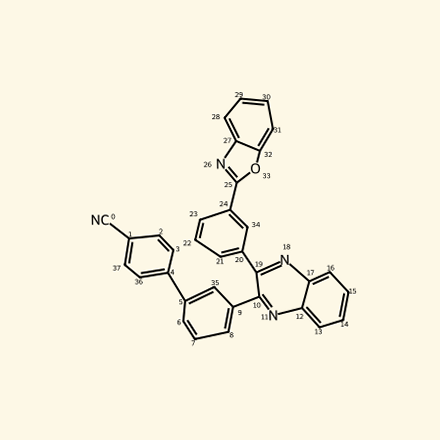 N#Cc1ccc(-c2cccc(-c3nc4ccccc4nc3-c3cccc(-c4nc5ccccc5o4)c3)c2)cc1